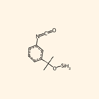 CC(C)(O[SiH3])c1cccc(N=C=O)c1